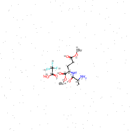 C[C@H](N)C(=O)N[C@H](CCC(=O)OC(C)(C)C)C(=O)OC(C)(C)C.O=C(O)C(F)(F)F